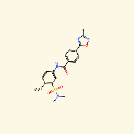 COc1ccc(NC(=O)c2ccc(-c3nc(C)no3)cc2)cc1S(=O)(=O)N(C)C